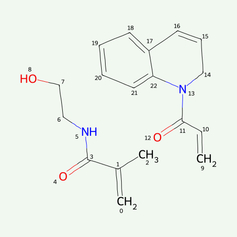 C=C(C)C(=O)NCCO.C=CC(=O)N1CC=Cc2ccccc21